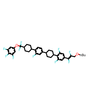 CCCCOC/C(F)=C(\F)c1cc(F)c(C2CCC(c3ccc(C4CCC(C(F)(F)Oc5cc(F)c(F)c(F)c5)CC4)c(F)c3)CC2)c(F)c1